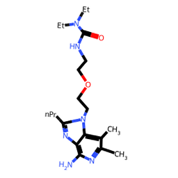 CCCc1nc2c(N)nc(C)c(C)c2n1CCOCCNC(=O)N(CC)CC